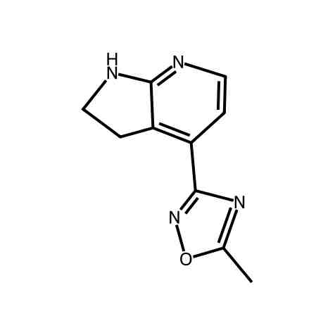 Cc1nc(-c2ccnc3c2CCN3)no1